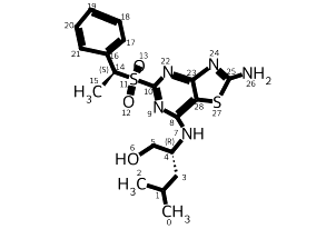 CC(C)C[C@H](CO)Nc1nc(S(=O)(=O)[C@@H](C)c2ccccc2)nc2nc(N)sc12